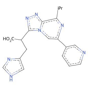 CC(C)c1nc(-c2cccnc2)cn2c(C(Cc3c[nH]cn3)C(=O)O)nnc12